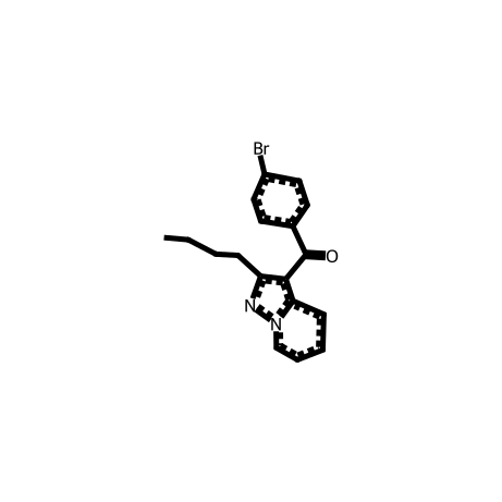 CCCCc1nn2ccccc2c1C(=O)c1ccc(Br)cc1